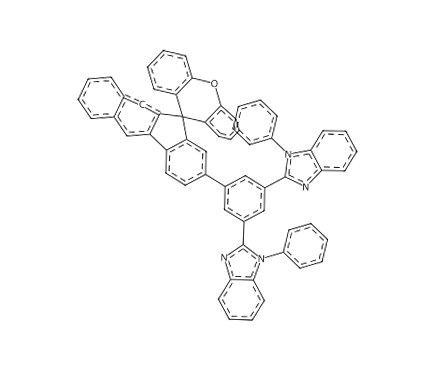 c1ccc(-n2c(-c3cc(-c4ccc5c(c4)C4(c6ccccc6Oc6ccccc64)c4cc6ccccc6cc4-5)cc(-c4nc5ccccc5n4-c4ccccc4)c3)nc3ccccc32)cc1